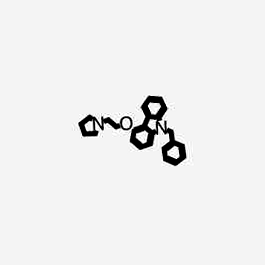 c1ccc(Cn2c3ccccc3c3c(OCCN4CCCC4)cccc32)cc1